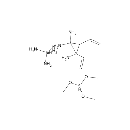 C=CC1C(N)(N)C1(N)C=C.CO[SiH](OC)OC.N[SiH](N)N